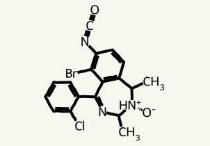 CC1N=C(c2ccccc2Cl)c2c(ccc(N=C=O)c2Br)C(C)[N@@H+]1[O-]